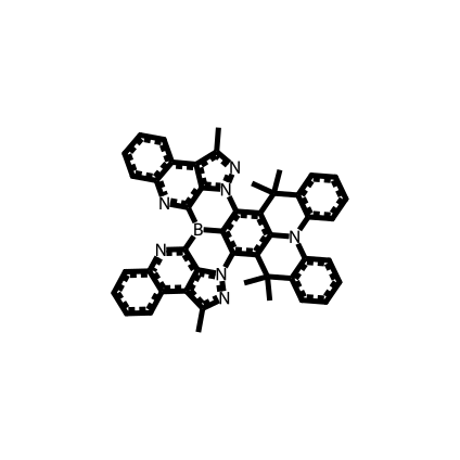 Cc1nn2c3c(nc4ccccc4c13)B1c3c-2c2c4c(c3-n3nc(C)c5c6ccccc6nc1c53)C(C)(C)c1ccccc1N4c1ccccc1C2(C)C